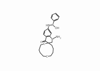 NN1CC2(CCCCCCCCCC2)C(=O)c2ccc(NN(O)c3ccccc3)cc21